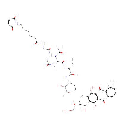 COc1cccc2c1C(=O)c1c(O)c3c(c(O)c1C2=O)C[C@@](O)(C(=O)CO)C[C@@H]3O[C@H]1C[C@H](NC(=O)[C@H](CC(C)C)NC(=O)[C@H](CC(N)=O)NC(=O)[C@H](C)NC(=O)[C@H](C)NC(=O)CCCCCN2C(=O)C=CC2=O)[C@H](O)[C@H](C)O1